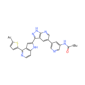 CC(=O)c1ccc(-c2nccc3[nH]c(-c4n[nH]c5ncc(-c6cncc(NC(=O)C(C)(C)C)c6)cc45)cc23)s1